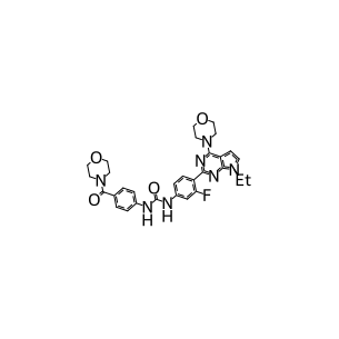 CCn1ccc2c(N3CCOCC3)nc(-c3ccc(NC(=O)Nc4ccc(C(=O)N5CCOCC5)cc4)cc3F)nc21